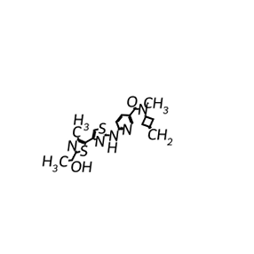 C=C1CC(N(C)C(=O)c2ccc(Nc3nc(-c4sc(C(C)O)nc4C)cs3)nc2)C1